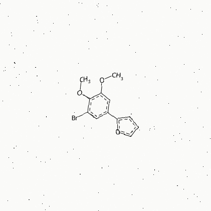 COc1cc(-c2ccco2)cc(Br)c1OC